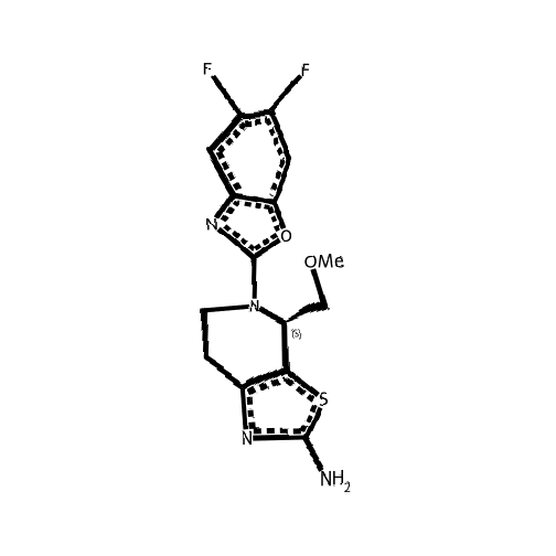 COC[C@H]1c2sc(N)nc2CCN1c1nc2cc(F)c(F)cc2o1